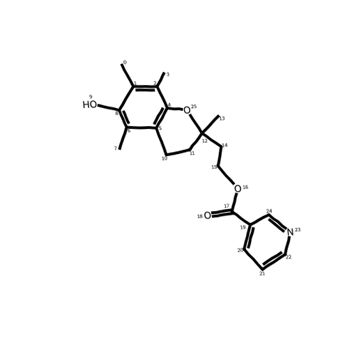 Cc1c(C)c2c(c(C)c1O)CCC(C)(CCOC(=O)c1cccnc1)O2